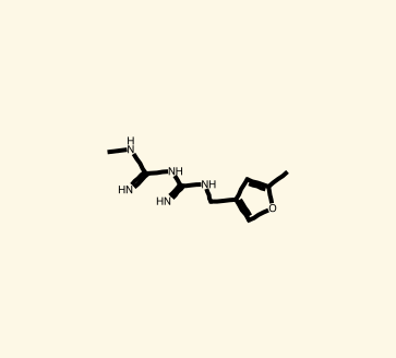 CNC(=N)NC(=N)NCc1coc(C)c1